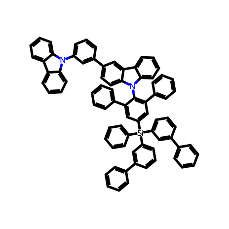 c1ccc(-c2cccc([Si](c3ccccc3)(c3cccc(-c4ccccc4)c3)c3cc(-c4ccccc4)c(-n4c5ccccc5c5cc(-c6cccc(-n7c8ccccc8c8ccccc87)c6)ccc54)c(-c4ccccc4)c3)c2)cc1